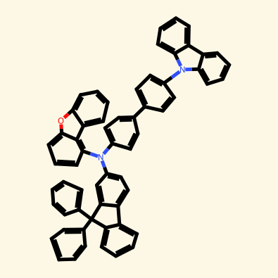 c1ccc(C2(c3ccccc3)c3ccccc3-c3ccc(N(c4ccc(-c5ccc(-n6c7ccccc7c7ccccc76)cc5)cc4)c4cccc5oc6ccccc6c45)cc32)cc1